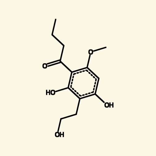 CCCC(=O)c1c(OC)cc(O)c(CCO)c1O